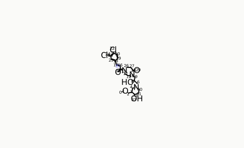 COCC1CN(CC(O)CN2CCN(C(=O)/C=C/c3ccc(Cl)c(Cl)c3)CCC2=O)CCC1O